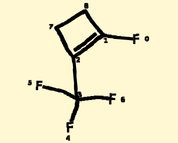 FC1=C(C(F)(F)F)CC1